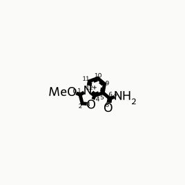 COC1COc2c(C(N)=O)ccc[n+]21